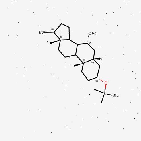 CC[C@H]1CCC2C3C(CC[C@@]21C)[C@@]1(C)CC[C@@H](O[Si](C)(C)C(C)(C)C)C[C@H]1C[C@H]3OC(C)=O